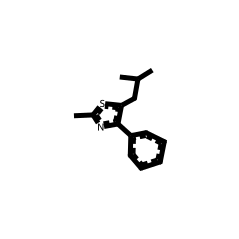 Cc1nc(-c2ccccc2)c(CC(C)C)s1